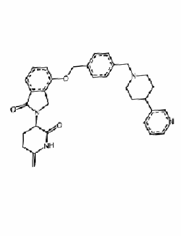 C=C1CCC(N2Cc3c(OCc4ccc(CN5CCC(c6cccnc6)CC5)cc4)cccc3C2=O)C(=O)N1